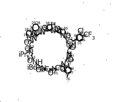 CC[C@H](C)[C@@H]1NC(=O)[C@H](CC(C)C)N(C)C(=O)C[C@@H](C(=O)N2CCCC2)N(C)C(=O)[C@H](C2CCCCC2)N(C)C(=O)C2(CCCC2)NC(=O)[C@@H]2CCCN2C(=O)[C@H](CCc2ccc(C(F)(F)F)c(Cl)c2)NC(=O)CN(C)C(=O)[C@H](Cc2ccc(C)cc2)N(C)C(=O)CN(C)C(=O)CN(C)C1=O